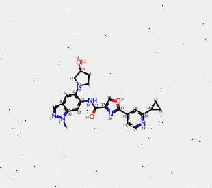 Cn1ncc2cc(N3CCC(O)C3)c(NC(=O)c3coc(-c4ccnc(C5CC5)c4)n3)cc21